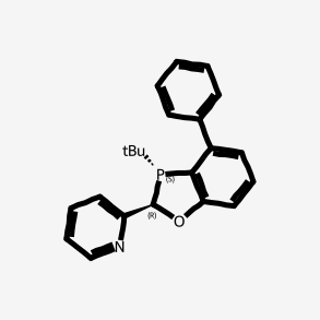 CC(C)(C)[P@]1c2c(cccc2-c2ccccc2)O[C@H]1c1ccccn1